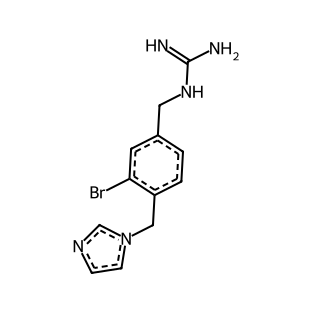 N=C(N)NCc1ccc(Cn2ccnc2)c(Br)c1